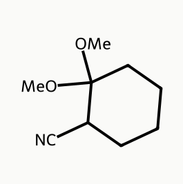 COC1(OC)CCCCC1C#N